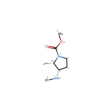 CC(C)N[C@H]1CCN(C(=O)OC(C)(C)C)[C@H]1C